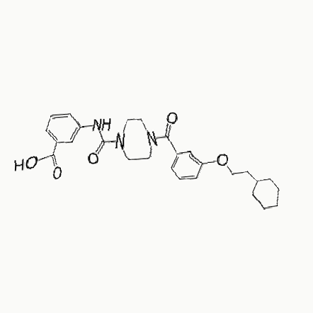 O=C(O)c1cccc(NC(=O)N2CCN(C(=O)c3cccc(OCCC4CCCCC4)c3)CC2)c1